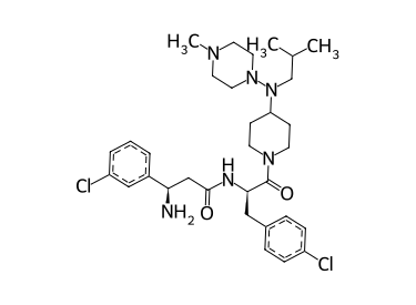 CC(C)CN(C1CCN(C(=O)[C@@H](Cc2ccc(Cl)cc2)NC(=O)C[C@@H](N)c2cccc(Cl)c2)CC1)N1CCN(C)CC1